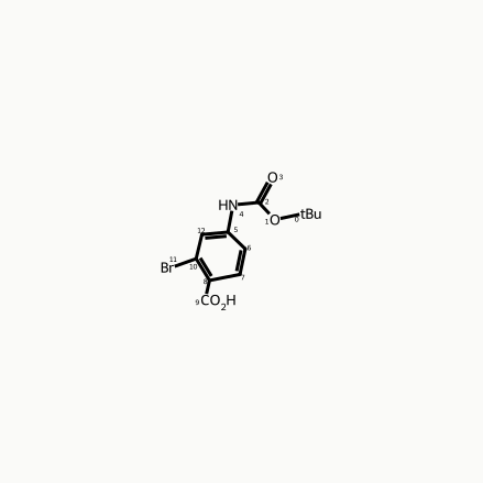 CC(C)(C)OC(=O)Nc1ccc(C(=O)O)c(Br)c1